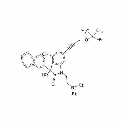 CCN(CC)CCN1C(=O)C(O)(c2ccc3ccccc3c2)c2c(Cl)cc(C#CCO[Si](C)(C)C(C)(C)C)cc21